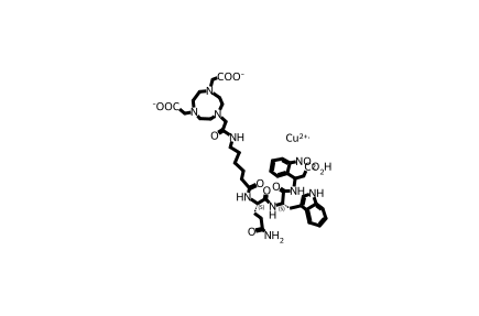 NC(=O)CC[C@H](NC(=O)CCCCCNC(=O)CN1CCN(CC(=O)[O-])CCN(CC(=O)[O-])CC1)C(=O)N[C@@H](Cc1c[nH]c2ccccc12)C(=O)NC(CC(=O)O)c1ccccc1[N+](=O)[O-].[Cu+2]